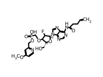 C=CCCC(=O)Nc1ncnc2c1ncn2[C@@H]1O[C@H](CO)C(OCP(=O)(O)OCc2cc(OC)ccn2)C1F